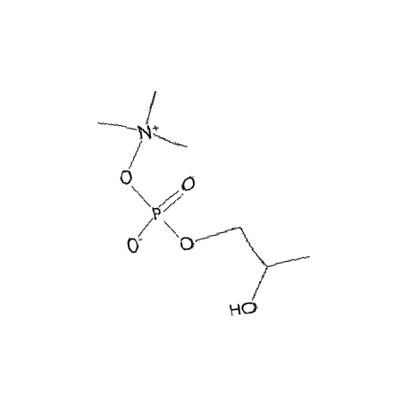 CC(O)COP(=O)([O-])O[N+](C)(C)C